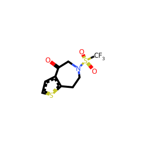 O=C1CN(S(=O)(=O)C(F)(F)F)CCc2sccc21